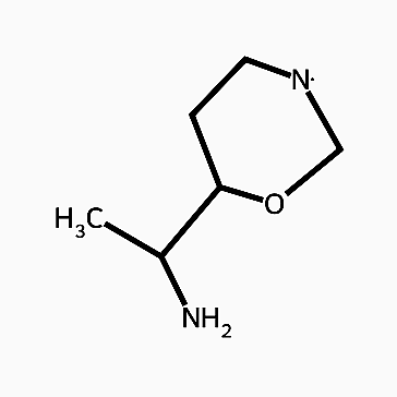 CC(N)C1CC[N]CO1